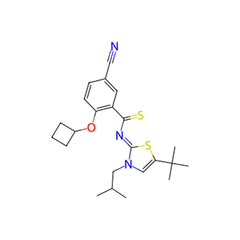 CC(C)Cn1cc(C(C)(C)C)s/c1=N\C(=S)c1cc(C#N)ccc1OC1CCC1